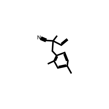 C=CC(C)(C#N)Cc1ccc(C)cc1C